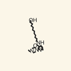 CCN1CCN(c2ncccc2C(=O)NCCCCCCCCCCCO)CC1